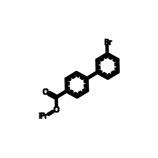 CC(C)OC(=O)c1ccc(-c2cccc(Br)c2)cc1